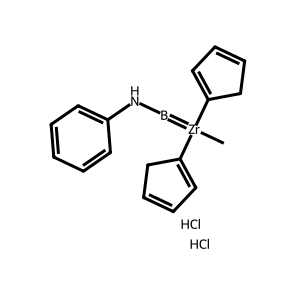 Cl.Cl.[CH3][Zr](=[B]Nc1ccccc1)([C]1=CC=CC1)[C]1=CC=CC1